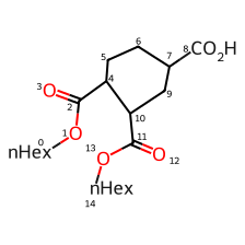 CCCCCCOC(=O)C1CCC(C(=O)O)CC1C(=O)OCCCCCC